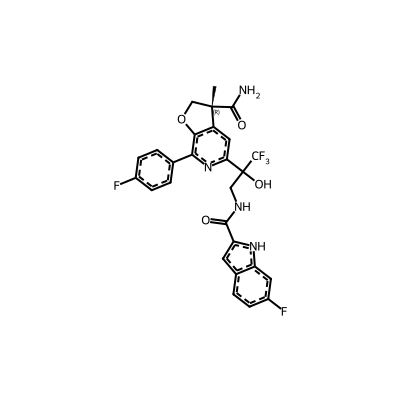 C[C@]1(C(N)=O)COc2c1cc(C(O)(CNC(=O)c1cc3ccc(F)cc3[nH]1)C(F)(F)F)nc2-c1ccc(F)cc1